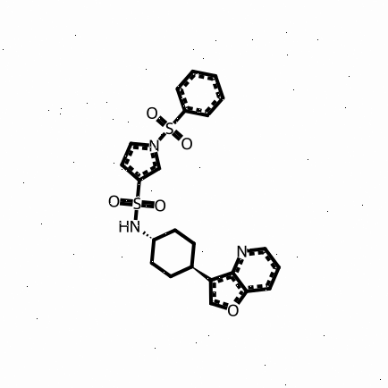 O=S(=O)(N[C@H]1CC[C@H](c2coc3cccnc32)CC1)c1ccn(S(=O)(=O)c2ccccc2)c1